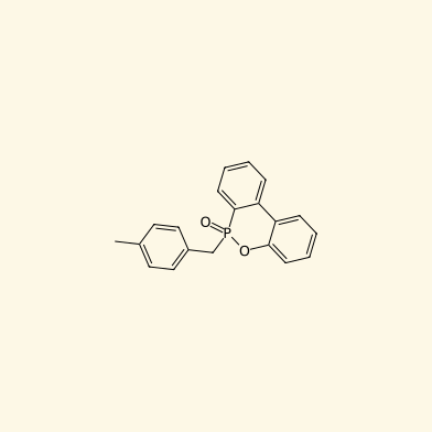 Cc1ccc(CP2(=O)Oc3ccccc3-c3ccccc32)cc1